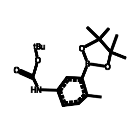 Cc1ccc(NC(=O)OC(C)(C)C)cc1B1OC(C)(C)C(C)(C)O1